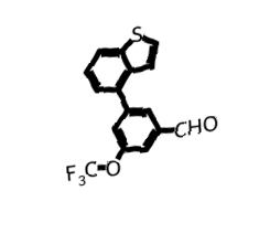 O=Cc1cc(OC(F)(F)F)cc(-c2cccc3sccc23)c1